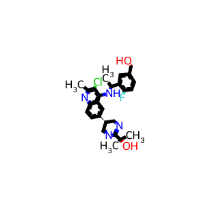 Cc1nc2ccc([C@H]3C=NC(C(C)(C)O)=NC3)cc2c(NC(C)c2cc(CO)ccc2F)c1Cl